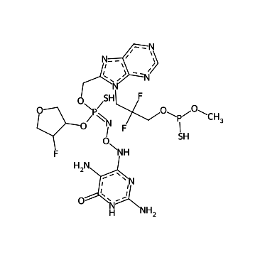 COP(S)OCC(F)(F)Cn1c(COP(S)(=NONc2nc(N)[nH]c(=O)c2N)OC2COCC2F)nc2cncnc21